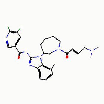 Cc1cccc2nc(NC(=O)c3cnc(Cl)c(Cl)c3)n(C3CCCCN(C(=O)C=CCN(C)C)C3)c12